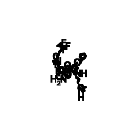 CC1(C)C[C@H](CCCNc2cc(OCc3ccccc3)cc(S(=O)(=O)c3cc(-n4ccc(OCCCC5(C(F)(F)F)CC5)n4)nc(Cl)c3C(N)=O)n2)CN1